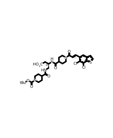 CC(C)(C)OC(=O)N1CCC(C(=O)NC[C@@H](CC(=O)O)NC(=O)C2CCN(C(=O)/C=C/c3cc4ccsc4c(Cl)c3Cl)CC2)CC1